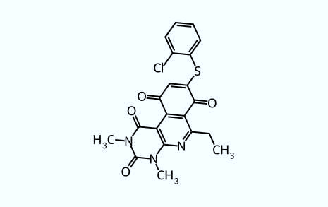 CCc1nc2c(c3c1C(=O)C(Sc1ccccc1Cl)=CC3=O)c(=O)n(C)c(=O)n2C